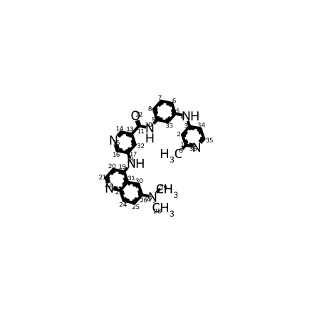 Cc1cc(Nc2cccc(NC(=O)c3cncc(Nc4ccnc5ccc(N(C)C)cc45)c3)c2)ccn1